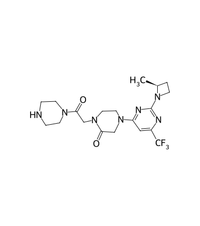 C[C@H]1CCN1c1nc(N2CCN(CC(=O)N3CCNCC3)C(=O)C2)cc(C(F)(F)F)n1